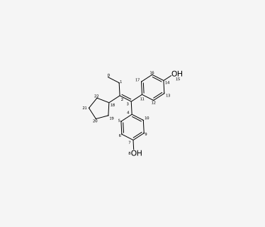 CCC(=C(c1ccc(O)cc1)c1ccc(O)cc1)C1CCCC1